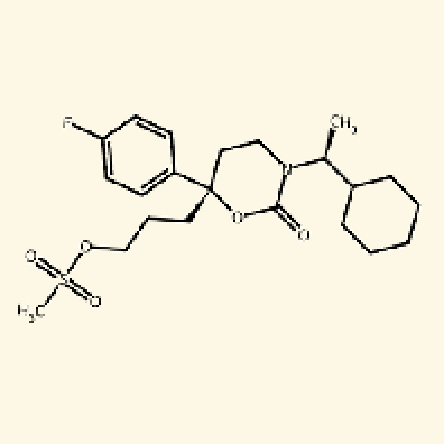 C[C@@H](C1CCCCC1)N1CC[C@@](CCCOS(C)(=O)=O)(c2ccc(F)cc2)OC1=O